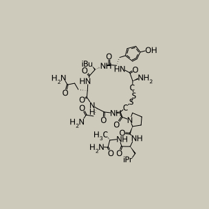 CC[C@H](C)[C@@H]1NC(=O)[C@H](Cc2ccc(O)cc2)NC(=O)[C@@H](N)CSSC[C@@H](C(=O)N2CCC[C@H]2C(=O)N[C@@H](CC(C)C)C(=O)N[C@@H](C)C(N)=O)NC(=O)[C@H](CC(N)=O)NC(=O)[C@H](CCC(N)=O)NC1=O